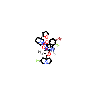 CC(C)(C)OC(=O)N1C2CCC1([C@H]1CCCO1)CN(c1nc(OC[C@@]34CCCN3C[C@H](F)C4)nc3c(F)c(Br)ccc13)C2